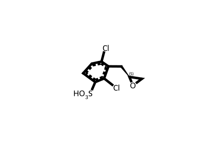 O=S(=O)(O)c1ccc(Cl)c(C[C@H]2CO2)c1Cl